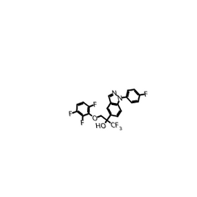 OC(COc1c(F)ccc(F)c1F)(c1ccc2c(cnn2-c2ccc(F)cc2)c1)C(F)(F)F